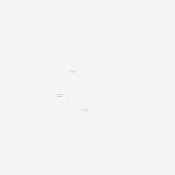 O=[Si]([O-])[O-].O=[Si]([O-])[O-].O=[Si]([O-])[O-].[Al].[Al].[Ga+3].[Ga+3]